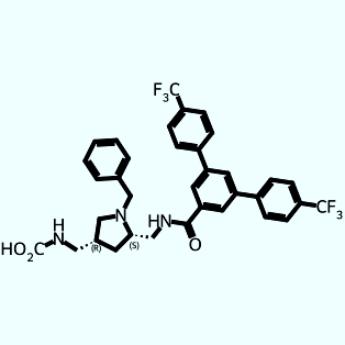 O=C(O)NC[C@H]1C[C@@H](CNC(=O)c2cc(-c3ccc(C(F)(F)F)cc3)cc(-c3ccc(C(F)(F)F)cc3)c2)N(Cc2ccccc2)C1